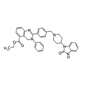 CCOC(=O)c1cccc2c1CN(c1ccccc1)C(c1ccc(CN3CCC(n4c(=O)[nH]c5ccccc54)CC3)cc1)=N2